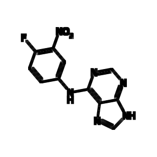 O=[N+]([O-])c1cc(Nc2ncnc3[nH]cnc23)ccc1F